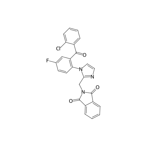 O=C(c1ccccc1Cl)c1cc(F)ccc1-n1ccnc1CN1C(=O)c2ccccc2C1=O